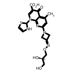 Cc1cc(N2CC(=NOC[C@H](O)CO)C2)nc2c1c(=O)c(C(=O)O)cn2C1NC=CS1